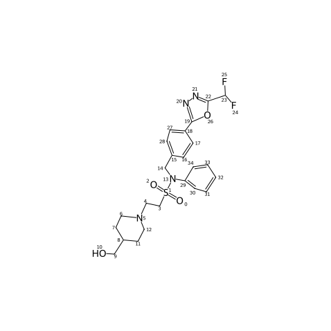 O=S(=O)(CCN1CCC(CO)CC1)N(Cc1ccc(-c2nnc(C(F)F)o2)cc1)c1ccccc1